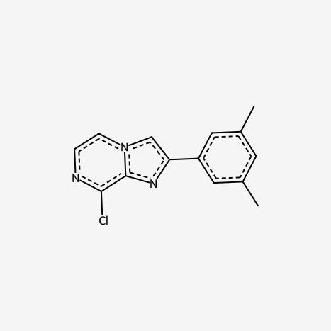 Cc1cc(C)cc(-c2cn3ccnc(Cl)c3n2)c1